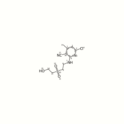 Cc1cc(Cl)nc(NCCS(=O)(=O)CCO)c1C#N